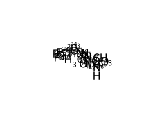 CO[C@H]1COCC[C@H]1NC1CCN(C(=O)c2ncnc(NC[C@H]3CCC[C@@H](C4C=CC(SC(F)(F)F)=CC4)O3)c2C)CC1